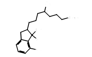 CCCC(C)CCCC(CCC)CCCC1Cc2cccc(F)c2C1(F)F